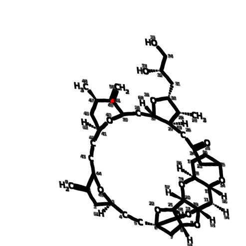 C=C1C[C@@H]2CC[C@@]34C[C@H]5O[C@H]6[C@@H](O3)[C@H]3OC(CC[C@@H]3O[C@H]6[C@H]5O4)CC(=O)C[C@@H]3[C@@H](C)[C@@H](C[C@H](O)CO)O[C@H]3C[C@H]3O[C@@H](CCC1O2)C[C@@H](C)C3=C